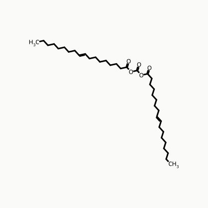 CCCCCCCCC=CCCCCCCCC(=O)OC(=O)OC(=O)CCCCCCCC=CCCCCCCCC